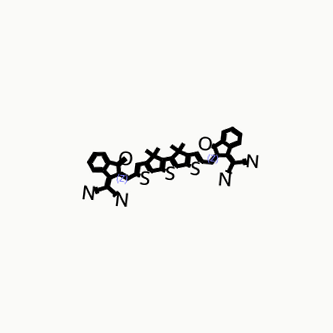 CC1(C)c2cc(/C=C3\C(=O)c4ccccc4C3=C(C#N)C#N)sc2-c2sc3c(c21)C(C)(C)c1cc(/C=C2\C(=O)c4ccccc4C2=C(C#N)C#N)sc1-3